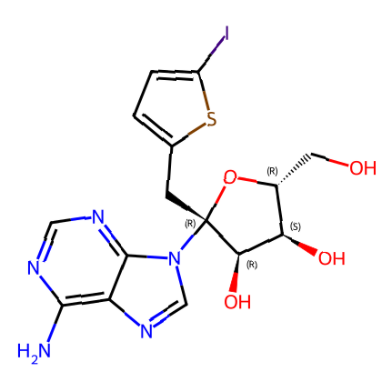 Nc1ncnc2c1ncn2[C@]1(Cc2ccc(I)s2)O[C@H](CO)[C@@H](O)[C@H]1O